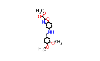 COC(=O)c1nc2cc(NCc3ccc(OC)c(OC)c3)ccc2o1